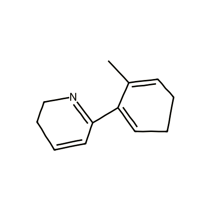 CC1=CCCC=C1C1=NCCC=C1